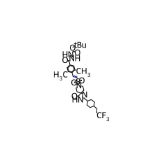 Cc1cc(C(=O)NNC(=O)OC(C)(C)C)cc(C)c1/C=C/S(=O)(=O)N1CCC2(CC1)N=C(C1CCC(CCC(F)(F)F)CC1)NC2=O